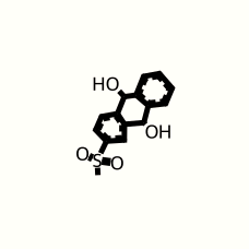 CS(=O)(=O)c1ccc2c(c1)C(O)c1ccccc1C2O